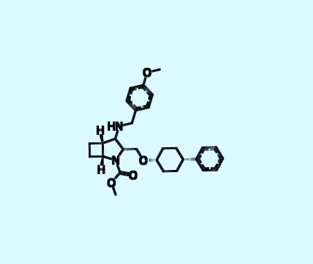 COC(=O)N1C(CO[C@H]2CC[C@@H](c3ccccc3)CC2)C(NCc2ccc(OC)cc2)[C@H]2CC[C@H]21